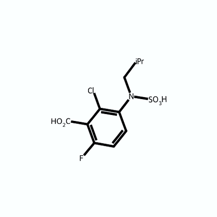 CC(C)CN(c1ccc(F)c(C(=O)O)c1Cl)S(=O)(=O)O